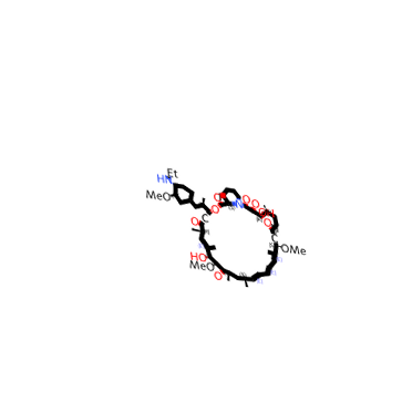 CCN[C@@H]1CCC(C[C@@H](C)C2CC(=O)[C@H](C)/C=C(\C)[C@@H](O)[C@@H](OC)C(=O)[C@H](C)C[C@H](C)/C=C/C=C/C=C(\C)[C@@H](OC)C[C@@H]3CC[C@@H](C)[C@@](O)(O3)C(=O)C(=O)N3CCCC[C@H]3C(=O)O2)C[C@H]1OC